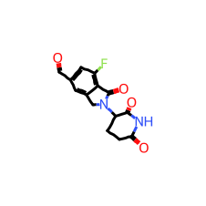 O=Cc1cc(F)c2c(c1)CN(C1CCC(=O)NC1=O)C2=O